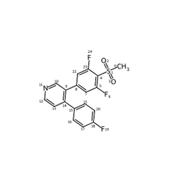 CS(=O)(=O)c1c(F)cc(-c2cnccc2-c2ccc(F)cc2)cc1F